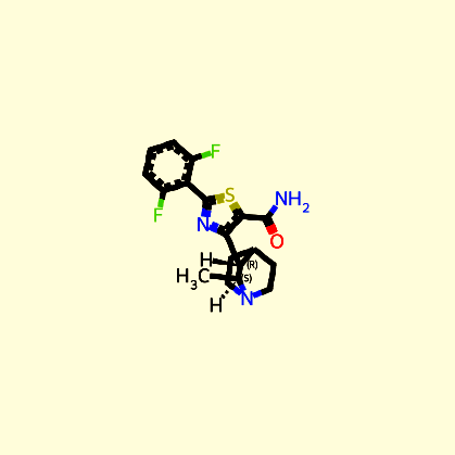 C[C@H]1[C@H](c2nc(-c3c(F)cccc3F)sc2C(N)=O)C2CCN1CC2